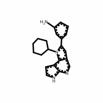 Nc1cccc(-c2cc3cnc4[nH]ccc4c3n2C2CCCCC2)c1